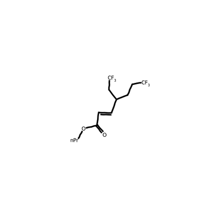 CCCOC(=O)C=CC(CCC(F)(F)F)CC(F)(F)F